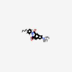 CCCN(CCC)C1Cc2cc3c(cc2C1)C(=O)N(c1ccc(C#N)cc1)C3=O